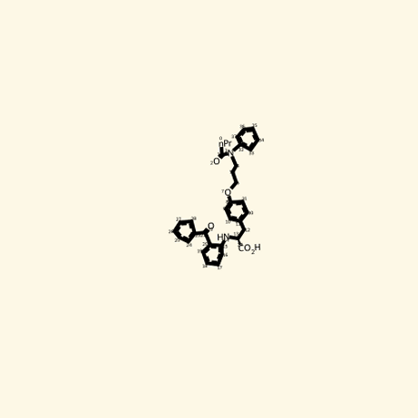 CCCC(=O)N(CCCOc1ccc(C[C@H](Nc2ccccc2C(=O)c2ccccc2)C(=O)O)cc1)c1ccccc1